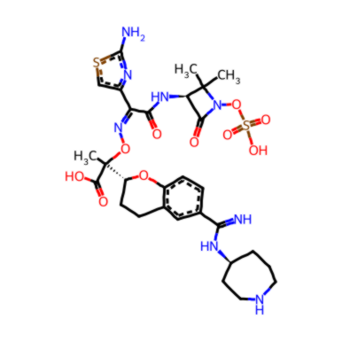 CC(O/N=C(\C(=O)N[C@@H]1C(=O)N(OS(=O)(=O)O)C1(C)C)c1csc(N)n1)(C(=O)O)[C@H]1CCc2cc(C(=N)N[C@H]3CCCNCC3)ccc2O1